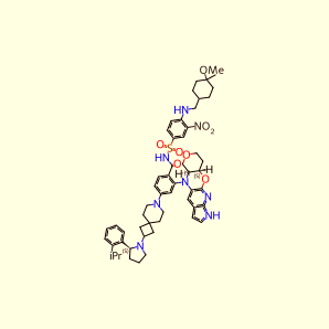 COC1(C)CCC(CNc2ccc(S(=O)(=O)NC(=O)c3ccc(N4CCC5(CC4)CC(N4CCC[C@H]4c4ccccc4C(C)C)C5)cc3N3c4cc5cc[nH]c5nc4O[C@H]4CCOC[C@@H]43)cc2[N+](=O)[O-])CC1